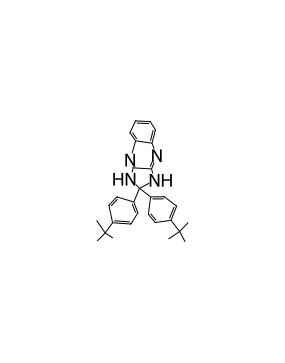 CC(C)(C)c1ccc(C2(c3ccc(C(C)(C)C)cc3)Nc3nc4ccccc4nc3N2)cc1